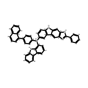 c1ccc(-c2nc3cc4c(cc3o2)oc2ccc(N(c3ccc(-c5cccc6ccccc56)cc3)c3cccc5c3sc3ccccc35)cc24)cc1